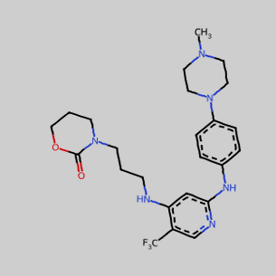 CN1CCN(c2ccc(Nc3cc(NCCCN4CCCOC4=O)c(C(F)(F)F)cn3)cc2)CC1